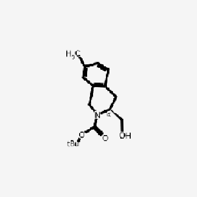 Cc1ccc2c(c1)CN(C(=O)OC(C)(C)C)[C@H](CO)C2